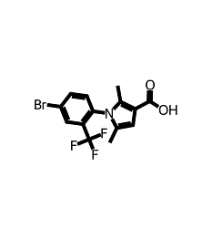 Cc1cc(C(=O)O)c(C)n1-c1ccc(Br)cc1C(F)(F)F